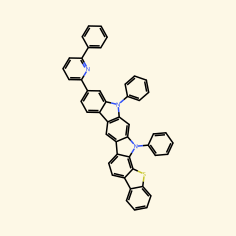 c1ccc(-c2cccc(-c3ccc4c5cc6c7ccc8c9ccccc9sc8c7n(-c7ccccc7)c6cc5n(-c5ccccc5)c4c3)n2)cc1